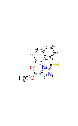 COC(=O)c1cnc(S)n1[C@@H]1CCCc2ccccc21